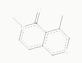 Cc1cncc2ccn(C)c(=O)c12